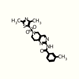 Cc1cccc(C(=O)Nc2ncc3c(n2)CCN(S(=O)(=O)c2sc(C)nc2C)C3)c1